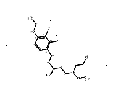 CCCC(CC)CCC(C)CCc1ccc(OCC)c(F)c1F